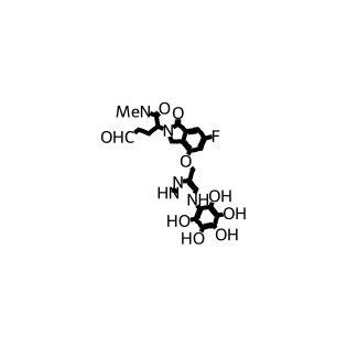 CNC(=O)C(CCC=O)N1Cc2c(OC/C(=C/Nc3c(O)c(O)c(O)c(O)c3O)N=N)cc(F)cc2C1=O